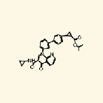 CC(C)OC(=O)C1CC1c1ccc(-c2cccc(-n3cc(C(=O)NC4CC4)c(=O)c4cccnc43)c2)cc1